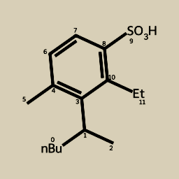 CCCCC(C)c1c(C)ccc(S(=O)(=O)O)c1CC